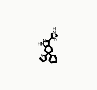 C1=CC(c2ccccc2)(c2cccs2)Cc2[nH]nc(-c3c[nH]cn3)c21